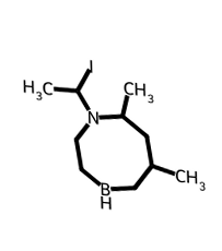 CC1CBCCN(C(C)I)C(C)C1